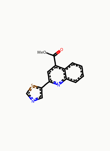 COC(=O)c1cc(-c2cncs2)nc2ccccc12